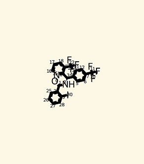 O=C(N[C@@H](c1ccc(C(F)(F)F)cc1)c1ncccc1C(F)(F)F)c1ccccc1I